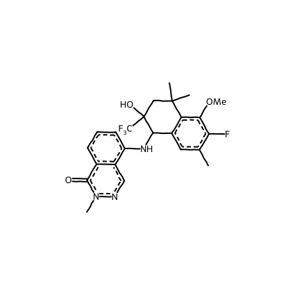 COc1c(F)c(C)cc2c1C(C)(C)CC(O)(C(F)(F)F)C2Nc1cccc2c(=O)n(C)ncc12